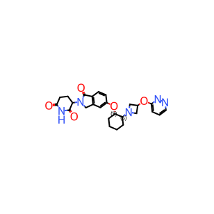 O=C1CCC(N2Cc3cc(O[C@H]4CCCC[C@@H]4N4CC(Oc5cccnn5)C4)ccc3C2=O)C(=O)N1